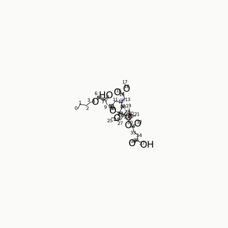 CCCCO[C@H](C)[C@H](O)C[C@@H]1C/C(=C\C(=O)OC)[C@H](CC(C)=O)[C@](OC)(C(C)(C)COC(=O)CCC(=O)O)O1